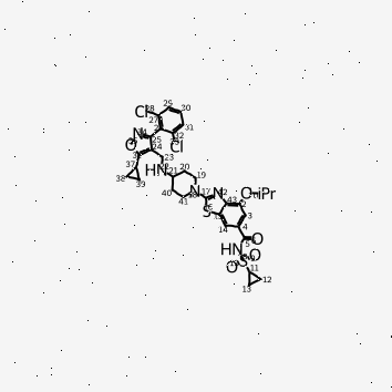 CC(C)Oc1cc(C(=O)NS(=O)(=O)C2CC2)cc2sc(N3CCC(NCc4c(-c5c(Cl)cccc5Cl)noc4C4CC4)CC3)nc12